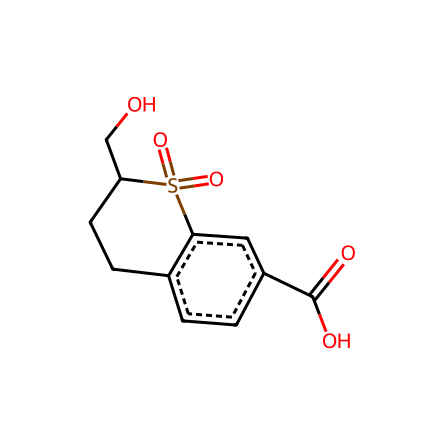 O=C(O)c1ccc2c(c1)S(=O)(=O)C(CO)CC2